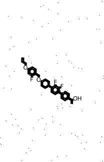 C=CCOc1ccc(COC2CCC(c3ccc(-c4ccc(C(C)O)cc4)c(F)c3F)CC2)c(F)c1